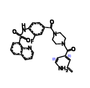 C=C/C=C(\C=C/N)C(=O)N1CCN(C(=O)c2ccc(NS(=O)(=O)c3cccc4cccnc34)c(F)c2)CC1